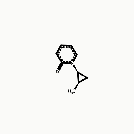 C[C@@H]1C[C@@H]1n1ccccc1=O